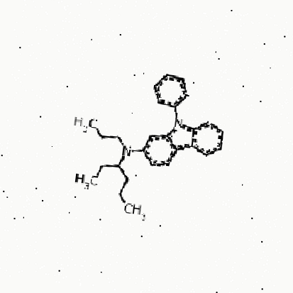 CCCC(CC)N(CCC)c1ccc2c3ccccc3n(-c3ccccc3)c2c1